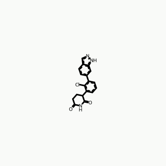 O=C1CCC(c2cccc(-c3ccc4cn[nH]c4c3)c2Cl)C(=O)N1